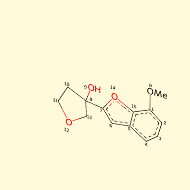 COc1cccc2cc(C3(O)CCOC3)oc12